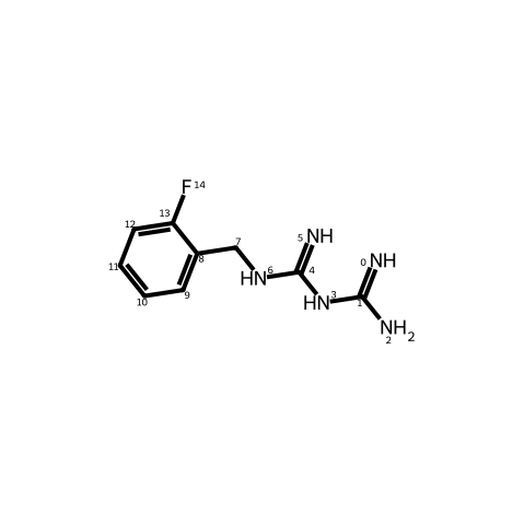 N=C(N)NC(=N)NCc1ccccc1F